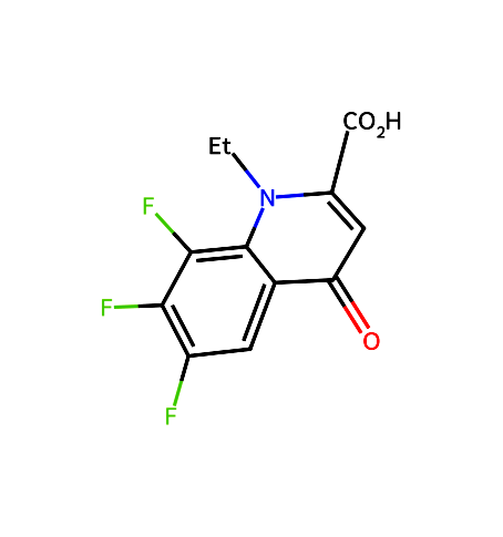 CCn1c(C(=O)O)cc(=O)c2cc(F)c(F)c(F)c21